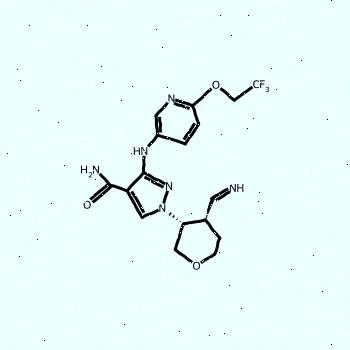 N=C[C@H]1CCOC[C@@H]1n1cc(C(N)=O)c(Nc2ccc(OCC(F)(F)F)nc2)n1